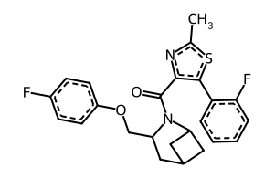 Cc1nc(C(=O)N2C(COc3ccc(F)cc3)CC3CC2C3)c(-c2ccccc2F)s1